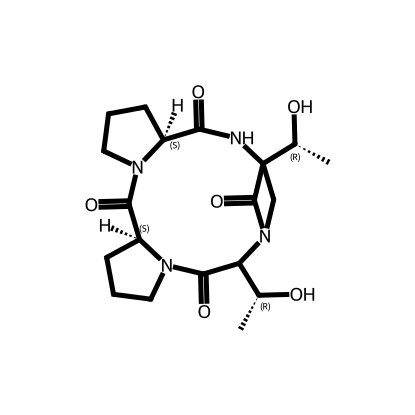 C[C@@H](O)C1C(=O)N2CCC[C@H]2C(=O)N2CCC[C@H]2C(=O)NC2([C@@H](C)O)CN1C2=O